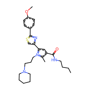 CCCCNC(=O)c1cc(-c2csc(-c3ccc(OC)cc3)n2)n(CCCN2CCCCC2)c1C